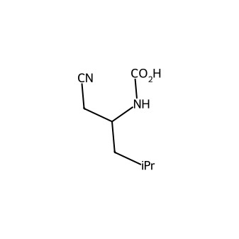 CC(C)CC(CC#N)NC(=O)O